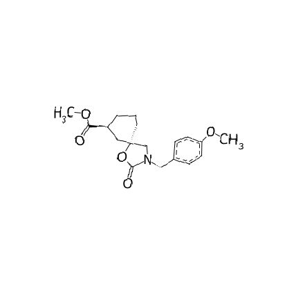 COC(=O)[C@H]1CCC[C@]2(C1)CN(Cc1ccc(OC)cc1)C(=O)O2